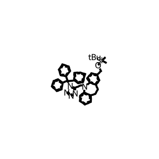 CC(C)(C)[Si](C)(C)OCc1ccc2c(c1)CCc1ccccc1N2Cc1nnnn1C(c1ccccc1)(c1ccccc1)c1ccccc1